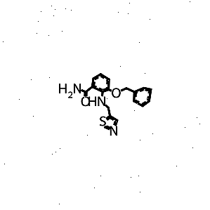 NC(=O)c1cccc(OCc2ccccc2)c1NCc1cncs1